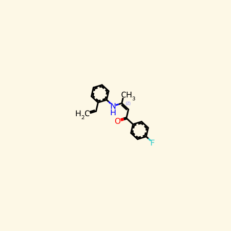 C=Cc1ccccc1N/C(C)=C\C(=O)c1ccc(F)cc1